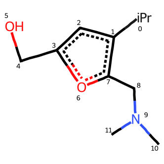 CC(C)c1cc(CO)oc1CN(C)C